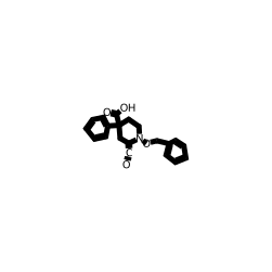 O=C=C1CC(C(=O)O)(c2ccccc2)CCN1OCc1ccccc1